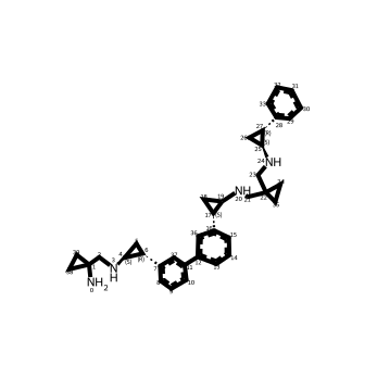 NC1(CN[C@H]2C[C@@H]2c2cccc(-c3cccc([C@@H]4CC4NCC4(CN[C@H]5C[C@@H]5c5ccccc5)CC4)c3)c2)CC1